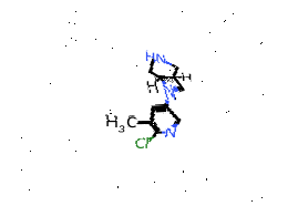 Cc1cc(N2C[C@H]3CNCC[C@H]32)cnc1Cl